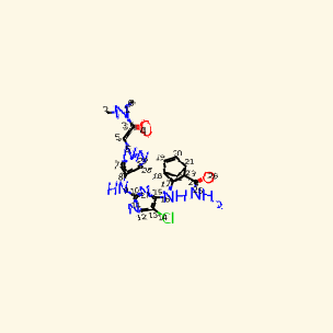 CN(C)C(=O)Cn1cc(Nc2ncc(Cl)c(NC3C4C=CC(C4)C3C(N)=O)n2)cn1